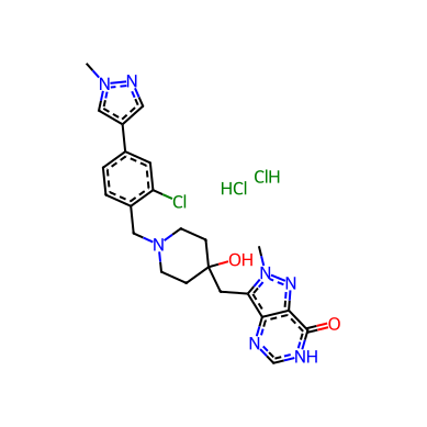 Cl.Cl.Cn1cc(-c2ccc(CN3CCC(O)(Cc4c5nc[nH]c(=O)c5nn4C)CC3)c(Cl)c2)cn1